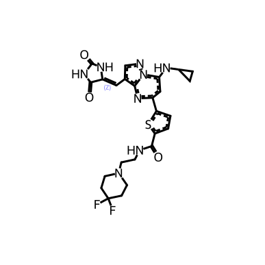 O=C1NC(=O)/C(=C/c2cnn3c(NC4CC4)cc(-c4ccc(C(=O)NCCN5CCC(F)(F)CC5)s4)nc23)N1